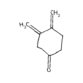 C=C1CCC(=O)CC1=C